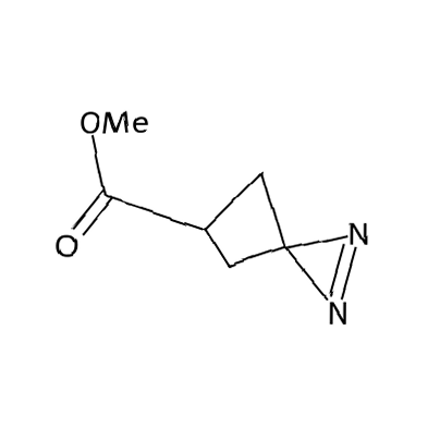 COC(=O)C1CC2(C1)N=N2